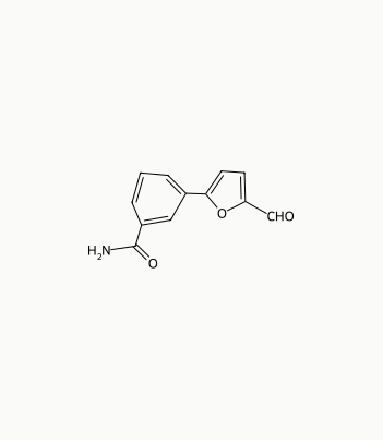 NC(=O)c1cccc(-c2ccc(C=O)o2)c1